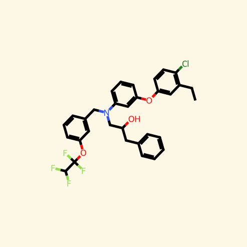 CCc1cc(Oc2cccc(N(Cc3cccc(OC(F)(F)C(F)F)c3)CC(O)Cc3ccccc3)c2)ccc1Cl